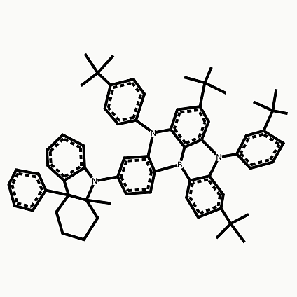 CC(C)(C)c1ccc(N2c3cc(N4c5ccccc5C5(c6ccccc6)CCCCC45C)ccc3B3c4ccc(C(C)(C)C)cc4N(c4cccc(C(C)(C)C)c4)c4cc(C(C)(C)C)cc2c43)cc1